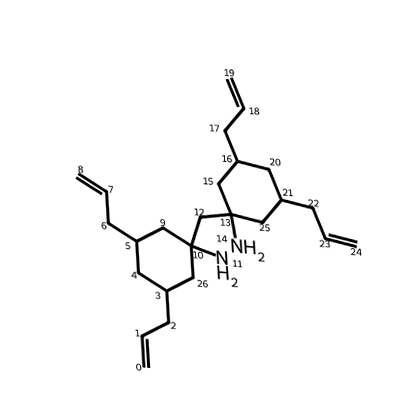 C=CCC1CC(CC=C)CC(N)(CC2(N)CC(CC=C)CC(CC=C)C2)C1